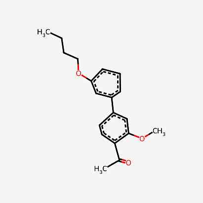 CCCCOc1cccc(-c2ccc(C(C)=O)c(OC)c2)c1